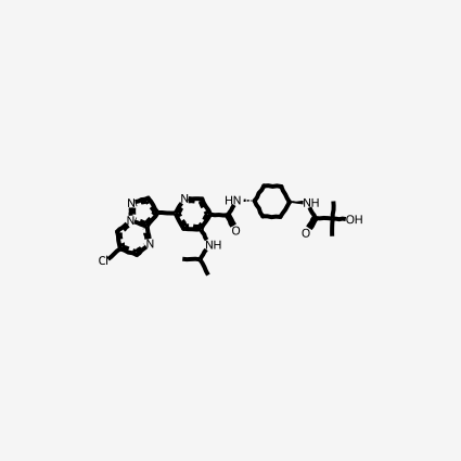 CC(C)Nc1cc(-c2cnn3cc(Cl)cnc23)ncc1C(=O)N[C@H]1CC[C@H](NC(=O)C(C)(C)O)CC1